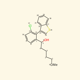 COCCCCC(O)c1cccc(Cl)c1-c1csc2ccccc12